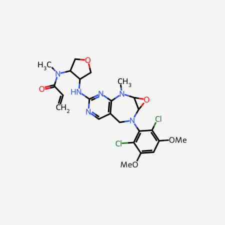 C=CC(=O)N(C)C1COCC1Nc1ncc2c(n1)N(C)C1OC1N(c1c(Cl)c(OC)cc(OC)c1Cl)C2